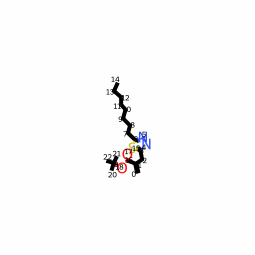 C=C(Cc1nnc(CCCCCCCC)s1)C(=O)OC(C)(C)C